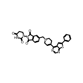 O=C1CCN(N2C(=O)c3ccc(CN4CC=C(c5ncnc6sc(-c7ccccc7)cc56)CC4)cc3C2=O)C(=O)N1